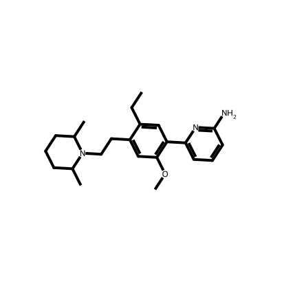 CCc1cc(-c2cccc(N)n2)c(OC)cc1CCN1C(C)CCCC1C